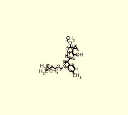 CCOC(=O)C1(c2nnc(-c3nn(COCC[Si](C)(C)C)c4nc(C)ccc34)nc2O)CC1